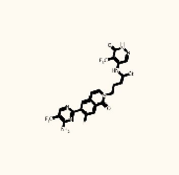 CCC(CCCn1ccc2cc(-c3ncc(C(F)(F)F)c(N)n3)c(F)cc2c1=O)Nc1cn[nH]c(=O)c1C(F)(F)F